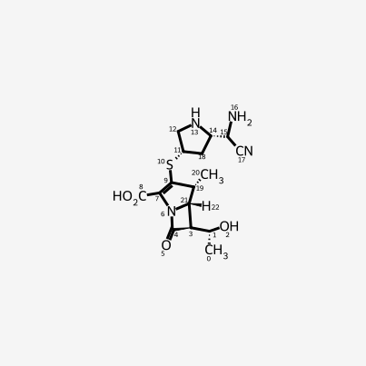 C[C@@H](O)[C@H]1C(=O)N2C(C(=O)O)=C(S[C@@H]3CN[C@H](C(N)C#N)C3)[C@H](C)[C@H]12